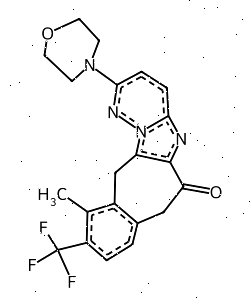 Cc1c(C(F)(F)F)ccc2c1Cc1c(nc3ccc(N4CCOCC4)nn13)C(=O)C2